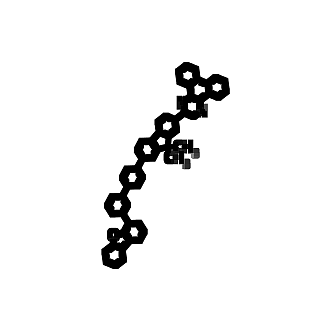 CC1(C)c2cc(-c3ccc(-c4cccc(-c5cccc6c5oc5ccccc56)c4)cc3)ccc2-c2ccc(-c3cnc4c5ccccc5c5ccccc5c4n3)cc21